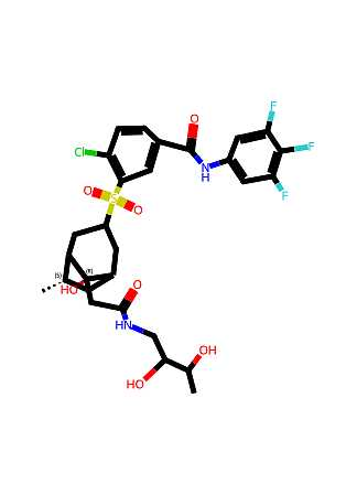 CC(O)C(O)CNC(=O)C[C@@]1(O)C2CC(S(=O)(=O)c3cc(C(=O)Nc4cc(F)c(F)c(F)c4)ccc3Cl)CC1[C@@H](C)C2